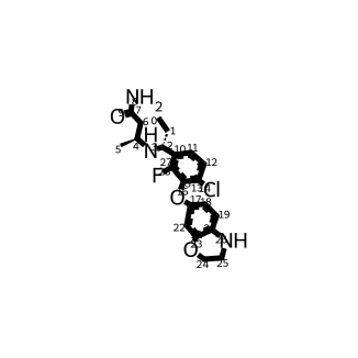 CC[C@@H](N[C@@H](C)CC(N)=O)c1ccc(Cl)c(Oc2ccc3c(c2)OCCN3)c1F